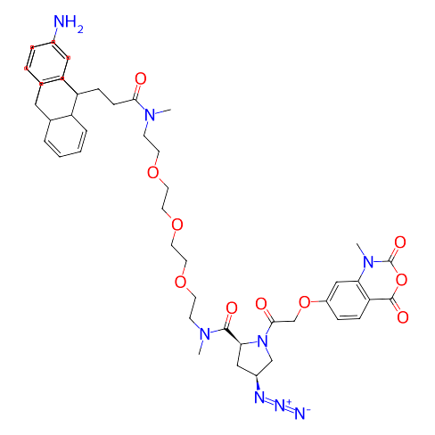 CN(CCOCCOCCOCCN(C)C(=O)[C@@H]1C[C@H](N=[N+]=[N-])CN1C(=O)COc1ccc2c(=O)oc(=O)n(C)c2c1)C(=O)CCC12c3cc(N)ccc3C(C3C=CC=CC31)C1C=CC=CC12